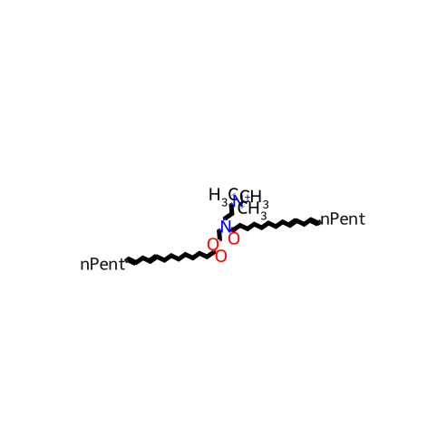 CCCCCC=CCC=CCCCCCCCC(=O)OCCN(CCC[N+](C)(C)C)C(=O)CCCCCCCC=CCC=CCCCCC